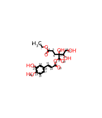 CCOC(=O)CCC(O)(C(=O)OC(=O)/C=C/c1ccc(O)c(O)c1)C(O)CO